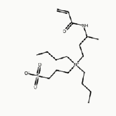 C=CC(=O)NC(C)CC[N+](CCCC)(CCCC)CCCS(=O)(=O)[O-]